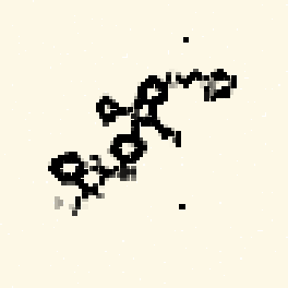 C[C@H](OC(=O)Nc1ccc(-c2c(C#N)c3cc(OCCn4cncn4)ccc3n2C2CCC2)cc1)c1ccccc1